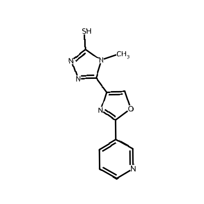 Cn1c(S)nnc1-c1coc(-c2cccnc2)n1